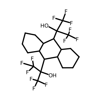 OC(C1C2CCCCC2C(C(O)(C(F)(F)F)C(F)(F)F)C2CCCCC21)(C(F)(F)F)C(F)(F)F